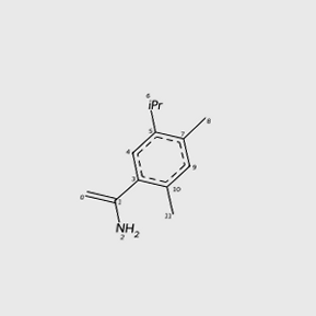 C=C(N)c1cc(C(C)C)c(C)cc1C